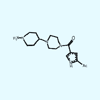 CC(=O)c1cc(C(=O)N2CCN(C3CCN(N)CC3)CC2)c[nH]1